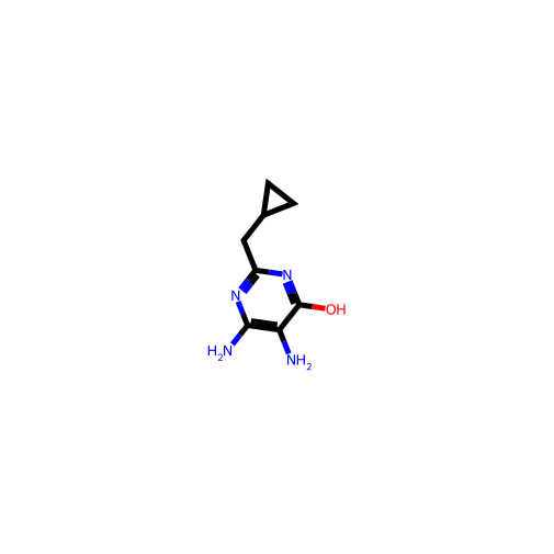 Nc1nc(CC2CC2)nc(O)c1N